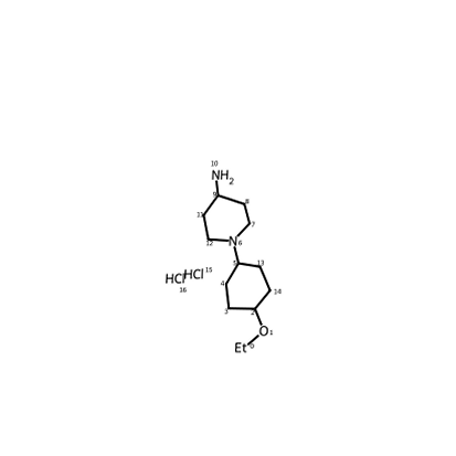 CCOC1CCC(N2CCC(N)CC2)CC1.Cl.Cl